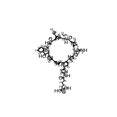 CNC(=O)C[C@@H]1NC(=O)c2csc(n2)-c2ccc(-c3nc(NC(=O)CCCCP(=O)(O)O)cs3)nc2-c2csc(n2)-c2csc(n2)[C@H]([C@@H](O)c2ccccc2)NC(=O)CNC(=O)c2nc(sc2COC)[C@H](C(C)C)NC(=O)c2nc1sc2C